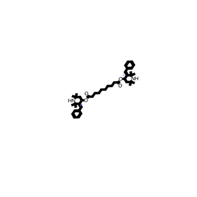 CC1(C)CC(OC(=O)CCCCCCCCC(=O)OC2CC(C)(C)NC(C)(C)/C2=C\c2ccccc2)/C(=C/c2ccccc2)C(C)(C)N1